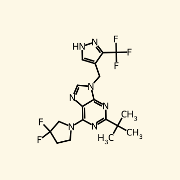 CC(C)(C)c1nc(N2CCC(F)(F)C2)c2ncn(Cc3c[nH]nc3C(F)(F)F)c2n1